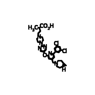 CC(CCN1CCN(c2ncc(Oc3cc(CN4CCC5C[C@H]5CC4)cc(-c4cc(Cl)cc(Cl)c4)n3)cn2)CC1)C(=O)O